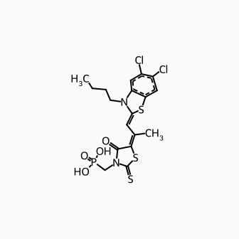 CCCCN1/C(=C/C(C)=C2/SC(=S)N(CP(=O)(O)O)C2=O)Sc2cc(Cl)c(Cl)cc21